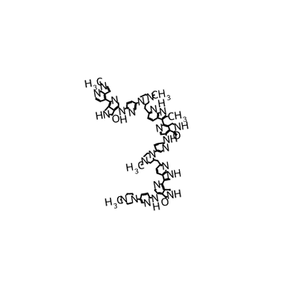 Cc1[nH]c2nc(CC3CN(C)CCN3c3ccc(Nc4cnc(-c5ccnc6c5ccn6C)c5c4C(=O)NC5)nc3)ccc2c1-c1ncc(Nc2ccc(N3CCN(C)CC3Cc3ccc4c(-c5ncc(Nc6ccc(N7CCN(C)CC7)cn6)c6c5CNC6=O)c[nH]c4n3)cn2)c2c1CNC2=O